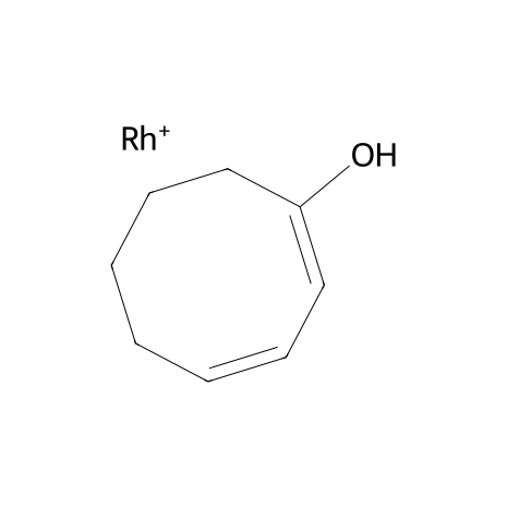 OC1=CC=CCCCC1.[Rh+]